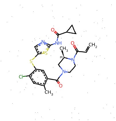 C=CC(=O)N1CCN(C(=O)c2cc(Sc3cnc(NC(=O)C4CC4)s3)c(Cl)cc2C)C[C@H]1C